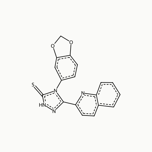 S=c1[nH]nc(-c2ccc3ccccc3n2)n1-c1ccc2c(c1)OCO2